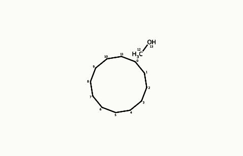 C1CCCCCCCCCCC1.CO